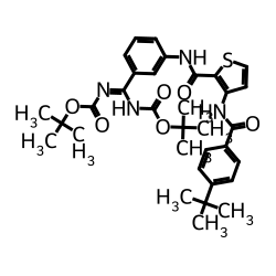 CC(C)(C)OC(=O)/N=C(\NC(=O)OC(C)(C)C)c1cccc(NC(=O)c2sccc2NC(=O)c2ccc(C(C)(C)C)cc2)c1